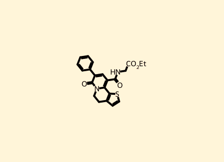 CCOC(=O)CNC(=O)c1cc(-c2ccccc2)c(=O)n2c1-c1sccc1CC2